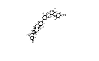 C[C@H]1CC(OC2[C@@H](C)CC(OC3[C@@H](C)CC(C4CC[C@]5(O)C6CC[C@]78C[C@]7(C7=CC(=O)SC7)[C@H](O)C[C@]8(O)[C@H]6CC[C@H]5C4)C[C@@H]3O)C[C@@H]2O)C[C@H](O)C1